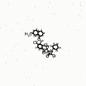 Cc1ccc2cccc(OCc3c(Cl)ccc(N(C)C(=O)[C@@H]4C(=O)C(=O)N4c4ccccc4)c3Cl)c2n1